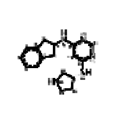 c1ccc2c(c1)CC(Nc1cc(N[C@@H]3CCNC3)ncn1)C2